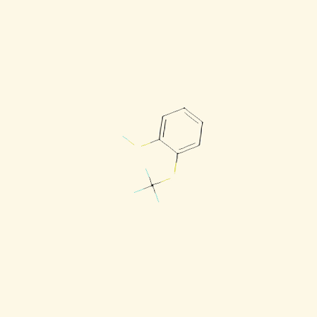 FSc1ccccc1SC(F)(F)F